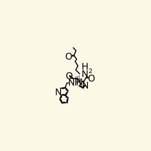 CCC(=O)CCCCC[C@@H](C(=O)NCc1cnc2ccccc2c1)n1ccnc1C(N)=O